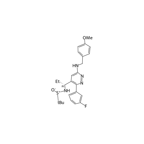 CC[C@@H](N[S+]([O-])C(C)(C)C)c1cc(NCc2ccc(OC)cc2)nnc1-c1cccc(F)c1